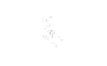 c1ccc(-c2nc(-c3ccc4c(c3)C3(c5ccccc5-c5ccccc53)c3ccccc3-4)nc(-c3ccc4c(c3)C3(c5ccccc5-c5ccccc53)c3ccccc3-4)n2)nc1